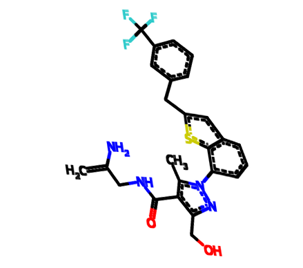 C=C(N)CNC(=O)c1c(CO)nn(-c2cccc3cc(Cc4cccc(C(F)(F)F)c4)sc23)c1C